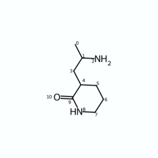 CC(N)CC1CCCNC1=O